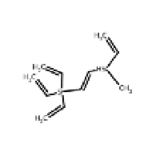 C=C[SiH](C)C=C[Si](C=C)(C=C)C=C